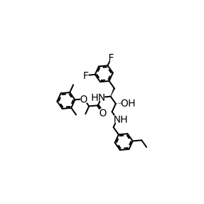 CCc1cccc(CNC[C@@H](O)[C@H](Cc2cc(F)cc(F)c2)NC(=O)C(C)Oc2c(C)cccc2C)c1